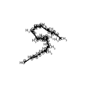 CN(C)CCCCC(=O)CCCC(=O)c1nc(CC(=O)c2cc(CC(=O)CCCC(=O)c3nc(CC(=O)c4nc(CC(=O)c5nc(CC(=O)CCCNC(=O)c6cc(NC(=O)c7cc(NC(=O)c8cc(NC(=O)CCNC(=O)c9cc(NC(=O)c%10cc(NC(=O)CCNC(=O)CCNC(=O)c%11ccc(NC(=O)CCCCCCC(=O)CO)cc%11)cn%10C)cn9C)cn8C)cn7C)cn6C)cn5C)cn4C)cn3C)cn2C)cn1C